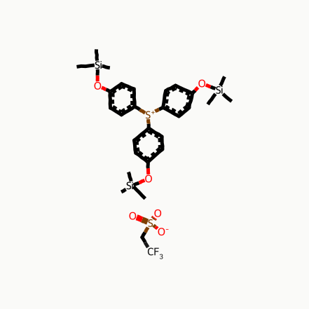 C[Si](C)(C)Oc1ccc([S+](c2ccc(O[Si](C)(C)C)cc2)c2ccc(O[Si](C)(C)C)cc2)cc1.O=S(=O)([O-])CC(F)(F)F